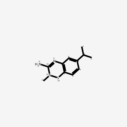 CC(C)c1ccc2c(c1)N=C(N)N(C)S2